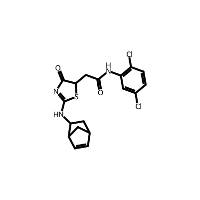 O=C(CC1SC(NC2CC3C=CC2C3)=NC1=O)Nc1cc(Cl)ccc1Cl